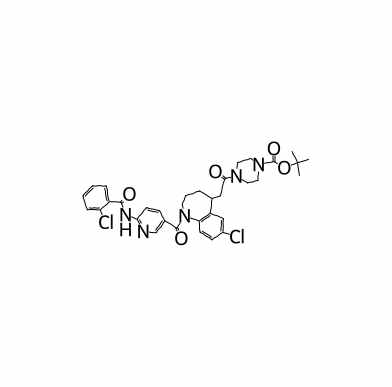 CC(C)(C)OC(=O)N1CCN(C(=O)CC2CCCN(C(=O)c3ccc(NC(=O)c4ccccc4Cl)nc3)c3ccc(Cl)cc32)CC1